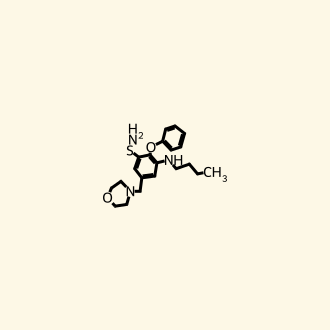 CCCCNc1cc(CN2CCOCC2)cc(SN)c1Oc1ccccc1